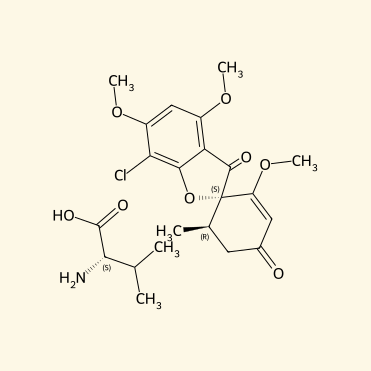 CC(C)[C@H](N)C(=O)O.COC1=CC(=O)C[C@@H](C)[C@]12Oc1c(Cl)c(OC)cc(OC)c1C2=O